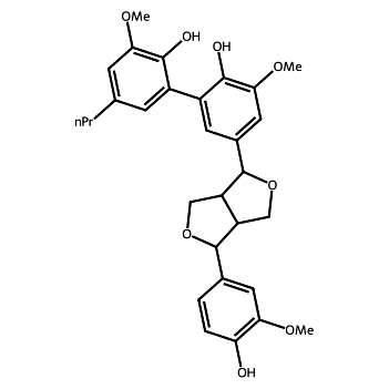 CCCc1cc(OC)c(O)c(-c2cc(C3OCC4C(c5ccc(O)c(OC)c5)OCC34)cc(OC)c2O)c1